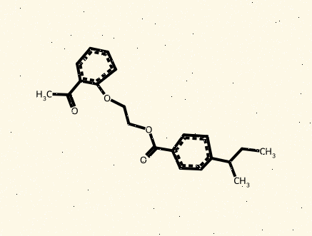 CCC(C)c1ccc(C(=O)OCCOc2ccccc2C(C)=O)cc1